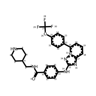 O=C(NCC1CCNCC1)c1ccc(Nc2nc3cccc(-c4ccc(OC(F)(F)F)cc4)n3n2)cc1